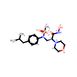 CC(C)Cc1ccc(N(C[C@@H](C(=O)NO)N2CCOCC2)S(C)(=O)=O)cc1